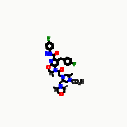 C[C@@H]1CN(CC(=O)N2c3cc(Cc4ccc(F)cc4)c(C(=O)Nc4ccc(F)cc4)nc3OC[C@@H]2C)[C@@H](CN2[C@H](C)COC[C@H]2C)CN1C(=O)O